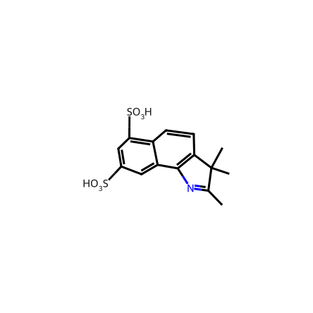 CC1=Nc2c(ccc3c(S(=O)(=O)O)cc(S(=O)(=O)O)cc23)C1(C)C